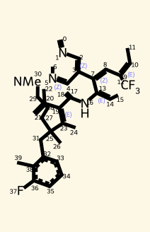 C=N/C=C(\C=N/C)C(=C/C(=C\C)C(F)(F)F)/C(=C\C)NC(=C)/C(C(=C)C)=C(\C)C(C)(CCCNC)Cc1cccc(F)c1C